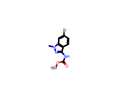 Cn1nc(NC(=O)OC(C)(C)C)c2ccc(Br)cc21